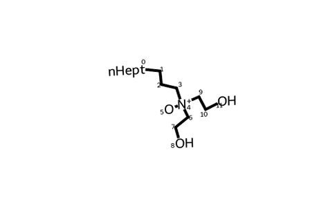 CCCCCCCCCC[N+]([O-])(CCO)CCO